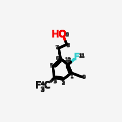 Cc1cc(C(F)(F)F)cc(CCO)c1F